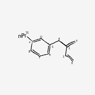 C=CC(=C)Cc1cccc(CCC)c1